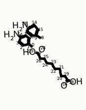 Cc1ccc(N)cc1.Cc1ccc(N)cc1.O=C(O)CCCCCCCCC(=O)O